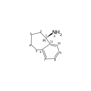 N[C@@H]1CCCCc2ccccc21